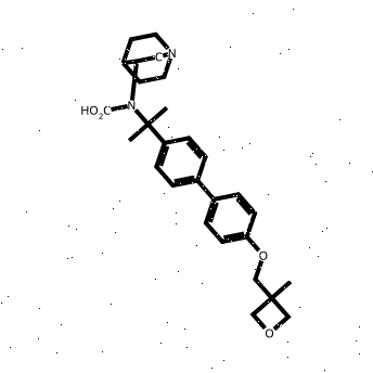 CC1(COc2ccc(-c3ccc(C(C)(C)N(C(=O)O)C4CN5CCC4CC5)cc3)cc2)COC1